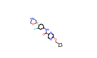 O=C(Nc1ccc([C@H]2CNCCO2)c(F)c1)c1cnc(OCC2CCC2)cn1